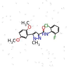 COc1ccc(OC)c(-c2cc(C(=O)Nc3c(F)cccc3Cl)nn2C)c1